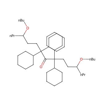 CCCCOC(CCC)CCC(C(=O)C(CCC(CCC)OCCCC)(C1CCCCC1)C1CCCCC1)(C1CCCCC1)C1CCCCC1